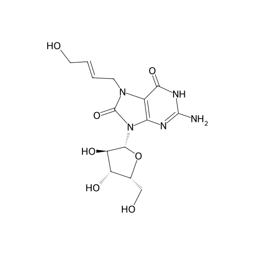 Nc1nc2c(c(=O)[nH]1)n(C/C=C/CO)c(=O)n2[C@@H]1O[C@H](CO)[C@H](O)[C@H]1O